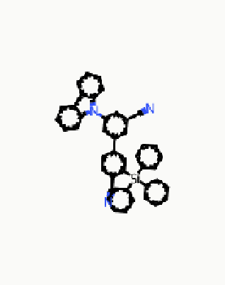 N#Cc1cc(-c2ccc(C#N)c([Si](c3ccccc3)(c3ccccc3)c3ccccc3)c2)cc(-n2c3ccccc3c3ccccc32)c1